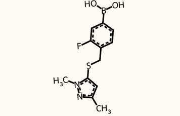 Cc1cc(SCc2ccc(B(O)O)cc2F)n(C)n1